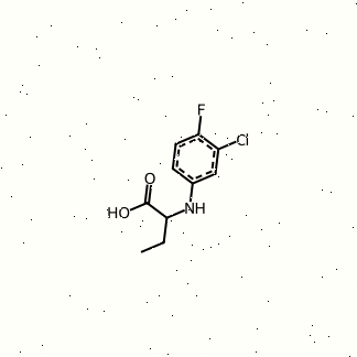 CCC(Nc1ccc(F)c(Cl)c1)C(=O)O